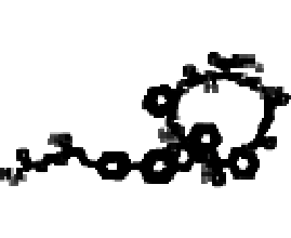 CC(=O)OCOC(O)CCc1ccc(-c2ccc(C[C@@H]3NC(=O)[C@]4(Cc5ccccc5)CCCN(C4)C(=O)/C=C/C(=O)NCC[C@@H](C(N)=O)NC(=O)Cc4ccccc4CNC3=O)cc2)cc1